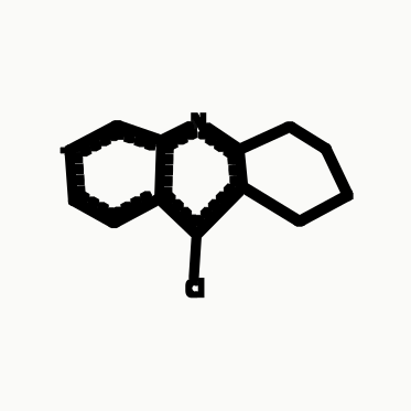 Clc1c2c(nc3c[c]ccc13)CCCC2